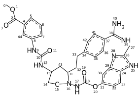 COC(=O)c1cccc(NC(=O)NC2CCN(NC(=O)Oc3ccc4[nH]c(C)nc4c3)C(CCc3ccc(C(=N)N)cc3)C2)c1